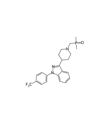 CP(C)(=O)CN1CCC(c2nn(-c3ccc(C(F)(F)F)cc3)c3ccccc23)CC1